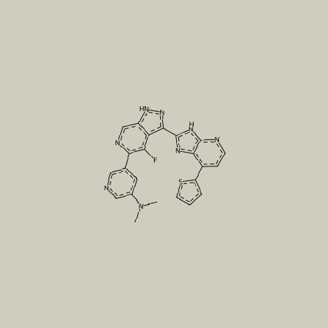 CN(C)c1cncc(-c2ncc3[nH]nc(-c4nc5c(-c6cccs6)ccnc5[nH]4)c3c2F)c1